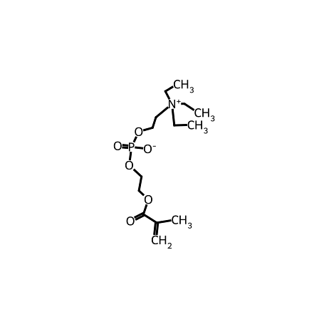 C=C(C)C(=O)OCCOP(=O)([O-])OCC[N+](CC)(CC)CC